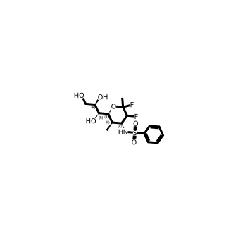 C[C@H]1[C@H]([C@H](O)[C@H](O)CO)OC(C)(F)C(F)[C@@H]1NS(=O)(=O)c1ccccc1